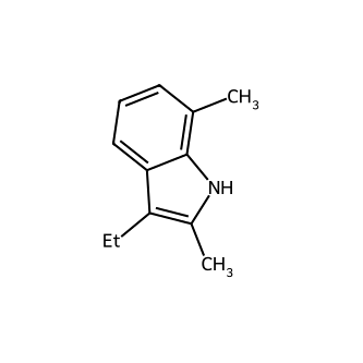 [CH2]Cc1c(C)[nH]c2c(C)cccc12